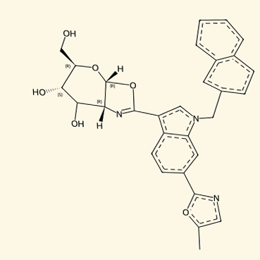 Cc1cnc(-c2ccc3c(C4=N[C@@H]5C(O)[C@H](O)[C@@H](CO)O[C@@H]5O4)cn(Cc4ccc5ccccc5c4)c3c2)o1